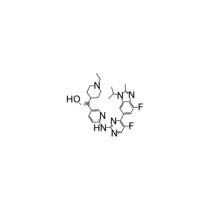 CCN1CCC([C@@H](CO)c2ccc(Nc3ncc(F)c(-c4cc(F)c5nc(C)n(C(C)C)c5c4)n3)nc2)CC1